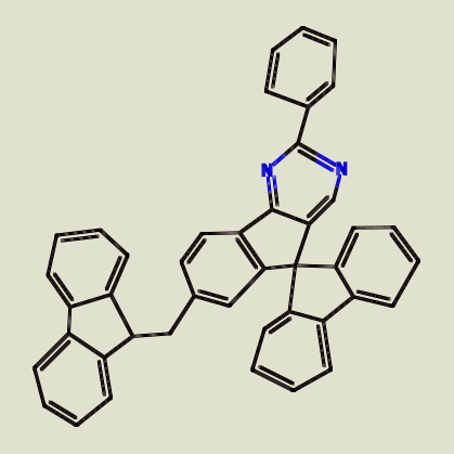 c1ccc(-c2ncc3c(n2)-c2ccc(CC4c5ccccc5-c5ccccc54)cc2C32c3ccccc3-c3ccccc32)cc1